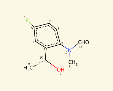 C[C@@H](O)c1cc(F)ccc1N(C)C=O